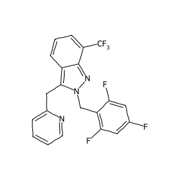 Fc1cc(F)c(Cn2nc3c(C(F)(F)F)cccc3c2Cc2ccccn2)c(F)c1